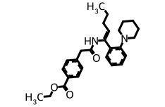 CCCC=C(NC(=O)Cc1ccc(C(=O)OCC)cc1)c1ccccc1N1CCCCC1